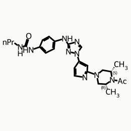 CCCNC(=O)Nc1ccc(Nc2ncn(-c3ccnc(N4C[C@@H](C)N(C(C)=O)[C@@H](C)C4)c3)n2)cc1